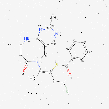 C/C(=C(\CCCl)SC(=O)c1ccccc1)N1Cc2cnc(C)nc2NCCC1=O